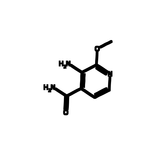 COc1nccc(C(N)=O)c1N